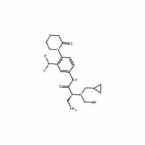 CC(C)CN(CC1CC1)[C@@H](CN)C(=O)Nc1ccc(N2CCOCC2=O)c(C(F)F)c1